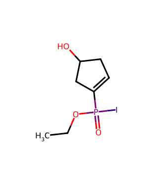 CCOP(=O)(I)C1=CCC(O)C1